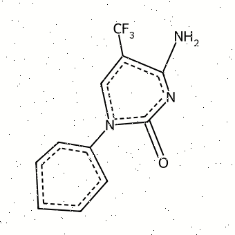 Nc1nc(=O)n(-c2ccccc2)cc1C(F)(F)F